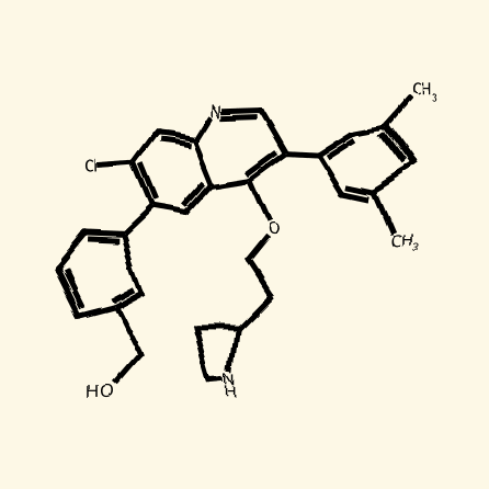 Cc1cc(C)cc(-c2cnc3cc(Cl)c(-c4cccc(CO)c4)cc3c2OCCC2CCN2)c1